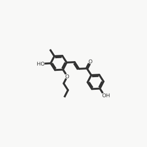 CCCOc1cc(O)c(C)cc1/C=C/C(=O)c1ccc(O)cc1